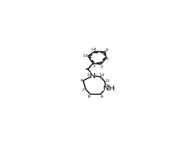 c1ccc(CN2CCCCNCC2)cc1